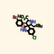 CC(C)(C)C[C@@H]1N[C@@H](C(=O)O)[C@H](c2cccc(Br)c2F)C12C(=O)Nc1cc(Cl)ccc12